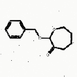 O=C1CCCCOC1OCc1ccccc1